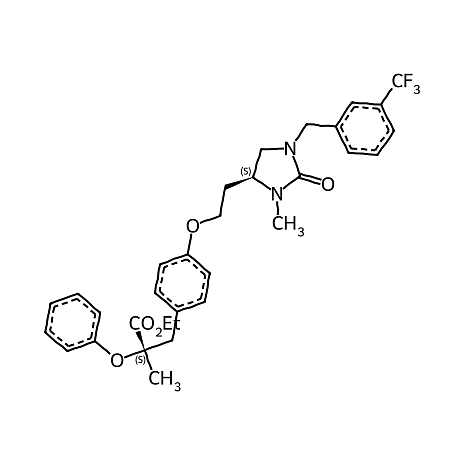 CCOC(=O)[C@](C)(Cc1ccc(OCC[C@H]2CN(Cc3cccc(C(F)(F)F)c3)C(=O)N2C)cc1)Oc1ccccc1